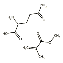 C=C(C)C(=O)OC.NC(=O)CCC(N)C(=O)O